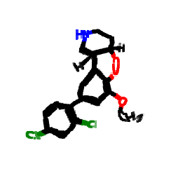 COc1cc(-c2ccc(Cl)cc2Cl)cc2c1O[C@H]1CCNC[C@@H]21